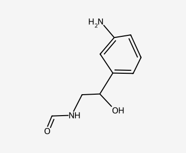 Nc1cccc(C(O)CNC=O)c1